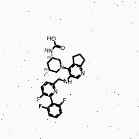 C[C@@H]1C[C@H](NC(=O)O)CN(c2c(NCc3ccc(F)c(-c4c(F)cccc4F)n3)cnc3c2CCC3)C1